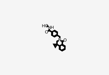 O=C(NO)c1ccc(CN2CC3(CC3)c3ccccc3C2=O)cc1